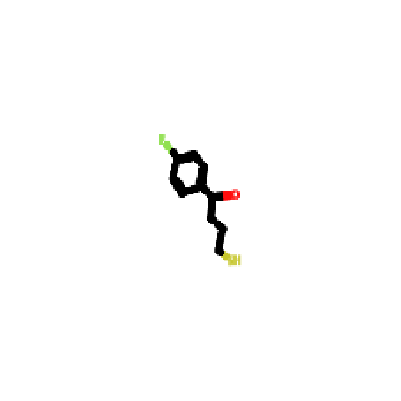 O=C(CCCS)c1ccc(F)cc1